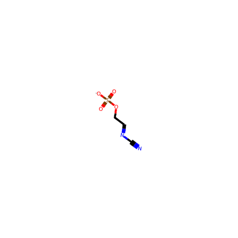 N#CN=CCOS([O])(=O)=O